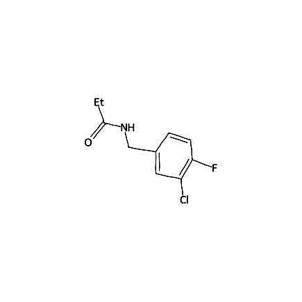 CCC(=O)NCc1ccc(F)c(Cl)c1